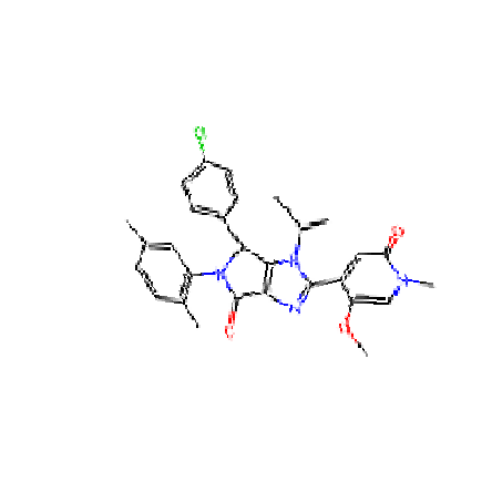 COc1cn(C)c(=O)cc1-c1nc2c(n1C(C)C)C(c1ccc(Cl)cc1)N(c1cc(C)ccc1C)C2=O